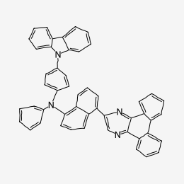 c1ccc(N(c2ccc(-n3c4ccccc4c4ccccc43)cc2)c2cccc3c(-c4cnc5c6ccccc6c6ccccc6c5n4)cccc23)cc1